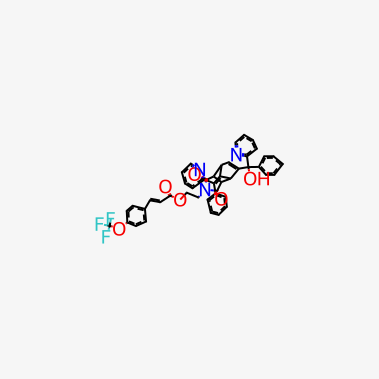 O=C(C=Cc1ccc(OC(F)(F)F)cc1)OCCN1C(=O)C2C3C=C(C(O)(c4ccccc4)c4ccccn4)C(C3=C(c3ccccc3)c3ccccn3)C2C1=O